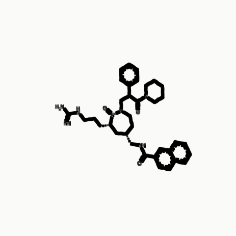 N=C(N)NCCC[C@H]1C[C@@H](CNC(=O)c2ccc3ccccc3c2)CCN(CC(C(=O)N2CCCCC2)c2ccccc2)[N+]1=O